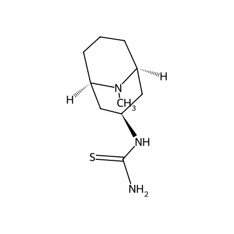 CN1[C@@H]2CCC[C@H]1C[C@@H](NC(N)=S)C2